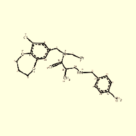 CC(C)CN(Cc1cc(Cl)c2c(c1)OCCCO2)C(=O)C(C)CNCc1ccc(N)cc1